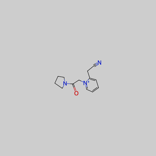 N#CCc1cccc[n+]1CC(=O)N1CCCC1